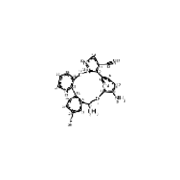 CC1Oc2cc(cnc2N)-c2c(C#N)cnn2Cc2cccnc2-c2ccc(F)cc21